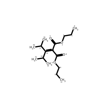 CCCOC(=O)C(C(=O)OCCC)=C(C(C)C)C(C)C